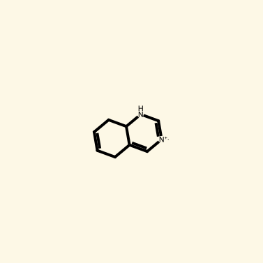 C1=CCC2NC=[N+]C=C2C1